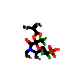 C=C(C)C(=O)OC(OCC(F)(F)S(=O)(=O)O)(C(=O)N(CC)C(C)C)C(F)(F)F